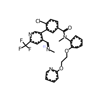 C/N=C/c1cc(C(F)(F)F)ncc1-c1cc(C(=O)N(C)c2ccccc2OCCOc2ccccn2)ccc1Cl